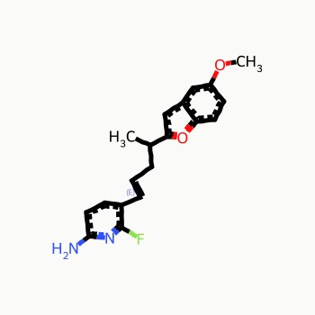 COc1ccc2oc(C(C)C/C=C/c3ccc(N)nc3F)cc2c1